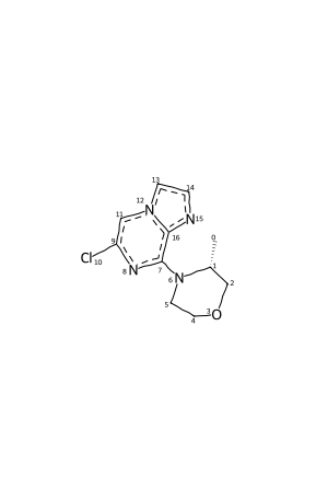 C[C@@H]1COCCN1c1nc(Cl)cn2ccnc12